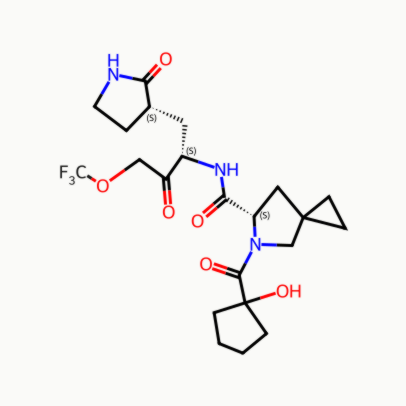 O=C1NCC[C@H]1C[C@H](NC(=O)[C@@H]1CC2(CC2)CN1C(=O)C1(O)CCCC1)C(=O)COC(F)(F)F